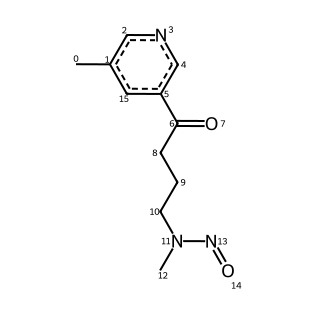 Cc1cncc(C(=O)CCCN(C)N=O)c1